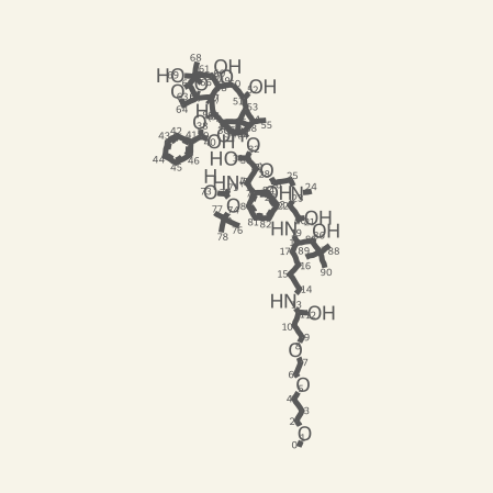 COCCCOCCOCCC(O)NCCCCC(NC(O)CN(C)CC(O)O[C@@H](C(O)O[C@H]1CC2(O)[C@@H](OC(O)c3ccccc3)[C@H]3C4(OC4C(O)C(C1C)C2(C)C)C(O)CC1OC[C@]13OC(C)O)[C@@H](NC(O)OC(C)(C)C)c1ccccc1)C(O)C(C)(C)C